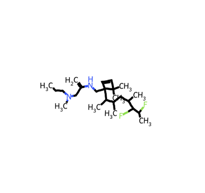 C=C(CN(C)CCC)NCC1(C(C)C(C)CC(C)C(F)C(C)F)C=CC1(C)C